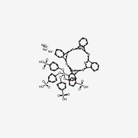 O=S(=O)(O)c1ccc([O][Zn]([O]c2ccc(S(=O)(=O)O)cc2)([O]c2ccc(S(=O)(=O)O)cc2)([O]c2ccc(S(=O)(=O)O)cc2)[c]2cccc3c4nc5nc(nc6[nH]c(nc7nc(nc([nH]4)c23)-c2ccccc2-7)c2ccccc62)-c2ccccc2-5)cc1.[Na+].[Na+].[Na+].[Na+]